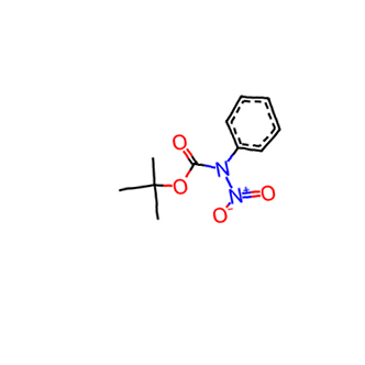 CC(C)(C)OC(=O)N(c1ccccc1)[N+](=O)[O-]